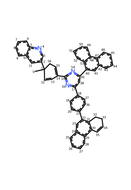 CC1(c2cnc3ccccc3c2)C=CC(c2nc(-c3ccc(-c4cc5ccccc5c5c4CCC=C5)cc3)cc(-c3cc4ccccc4c4ccccc34)n2)=CC1